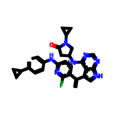 C=C(c1ccc(NC(/C=C\C(=C)C2CC2)=C/C)nc1F)c1c[nH]c2ncnc(NC3CC(=O)N(C4CC4)C3)c12